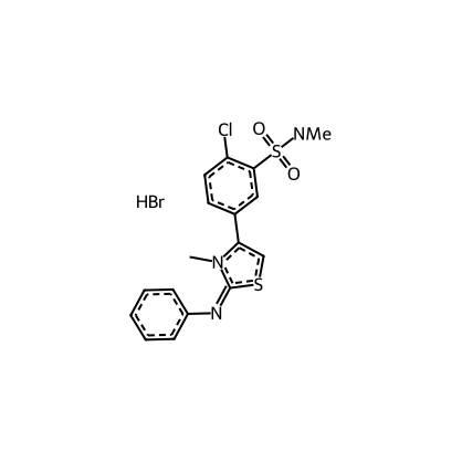 Br.CNS(=O)(=O)c1cc(-c2csc(=Nc3ccccc3)n2C)ccc1Cl